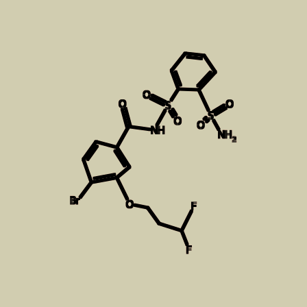 NS(=O)(=O)c1ccccc1S(=O)(=O)NC(=O)c1ccc(Br)c(OCCC(F)F)c1